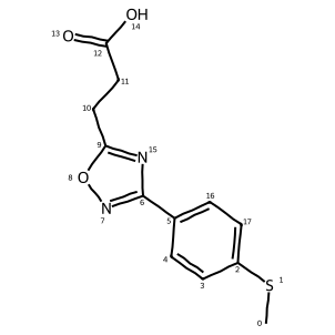 CSc1ccc(-c2noc(CCC(=O)O)n2)cc1